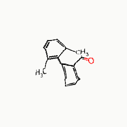 Cc1cccc(C)c1-c1ccccc1[C]=O